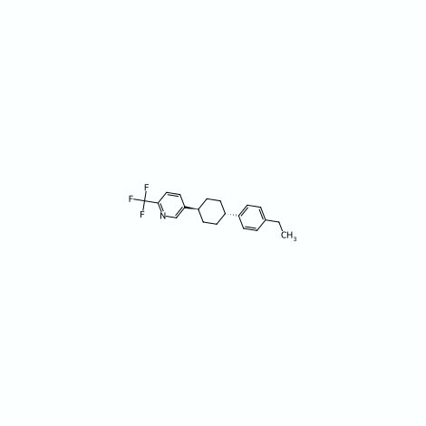 CCc1ccc([C@H]2CC[C@H](c3ccc(C(F)(F)F)nc3)CC2)cc1